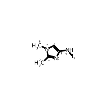 Cc1nc(NI)cn1C